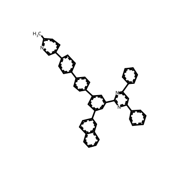 Cc1ccc(-c2ccc(-c3ccc(-c4cc(-c5ccc6ccccc6c5)cc(-c5nc(-c6ccccc6)cc(-c6ccccc6)n5)c4)cc3)cc2)cn1